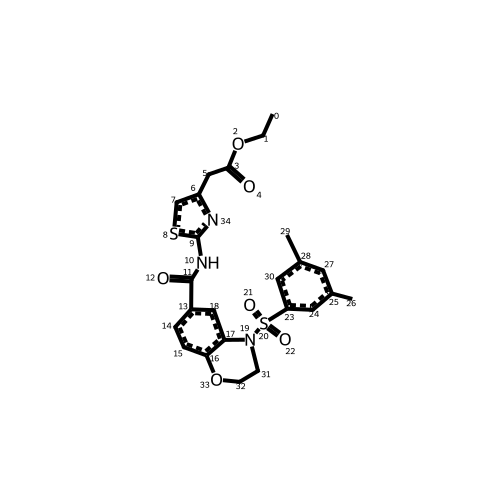 CCOC(=O)Cc1csc(NC(=O)c2ccc3c(c2)N(S(=O)(=O)c2cc(C)cc(C)c2)CCO3)n1